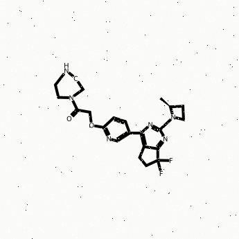 C[C@H]1CCN1c1nc(-c2ccc(OCC(=O)N3CCNCC3)nc2)c2c(n1)C(F)(F)CC2